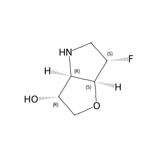 O[C@H]1CO[C@H]2[C@@H]1NC[C@@H]2F